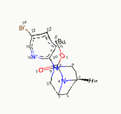 CC(C)(C)OC(=O)N1C2C[C@H]1CN(c1ccc(Br)cn1)C2